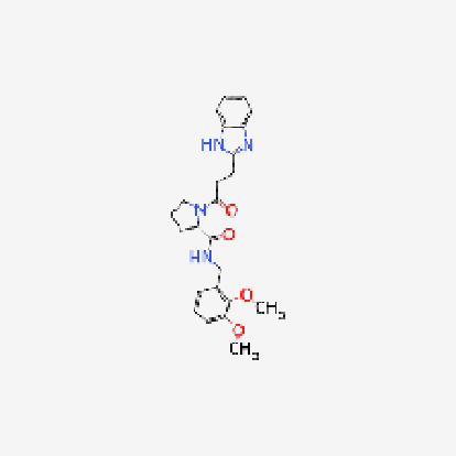 COc1cccc(CNC(=O)[C@@H]2CCCN2C(=O)CCc2nc3ccccc3[nH]2)c1OC